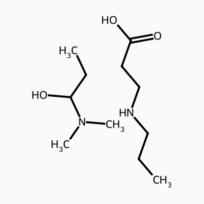 CCC(O)N(C)C.CCCNCCC(=O)O